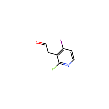 O=CCc1c(I)ccnc1F